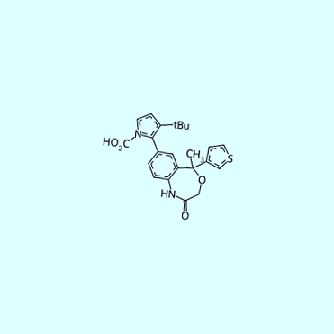 CC(C)(C)c1ccn(C(=O)O)c1-c1ccc2c(c1)C(C)(c1ccsc1)OCC(=O)N2